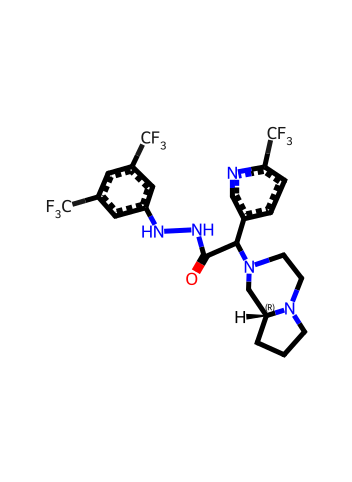 O=C(NNc1cc(C(F)(F)F)cc(C(F)(F)F)c1)C(c1ccc(C(F)(F)F)nc1)N1CCN2CCC[C@@H]2C1